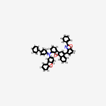 c1ccc(-c2ccc(N(c3ccc4oc5ccccc5c4c3)c3cccc4c3oc3c5ccccc5c(-c5cccc6oc(-c7ccccc7)nc56)cc43)cc2)cc1